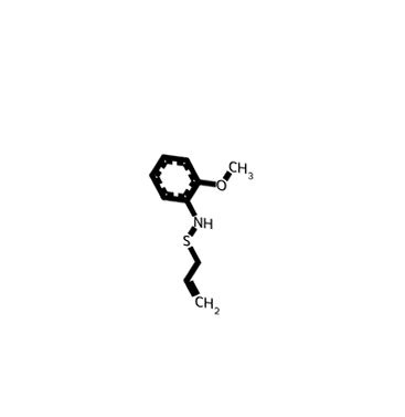 C=CCSNc1ccccc1OC